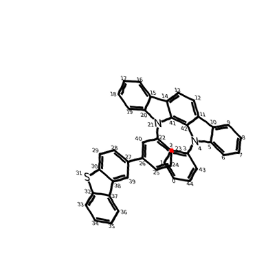 c1ccc(-n2c3ccccc3c3ccc4c5ccccc5n(-c5cccc(-c6ccc7sc8ccccc8c7c6)c5)c4c32)cc1